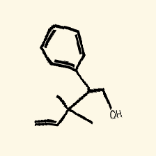 C=CC(C)(C)C(CO)c1ccccc1